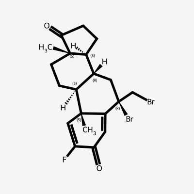 C[C@]12C=C(F)C(=O)C=C1[C@@](Br)(CBr)C[C@@H]1[C@@H]2CC[C@]2(C)C(=O)CC[C@@H]12